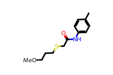 COCCCSCC(=O)Nc1ccc(C)cc1